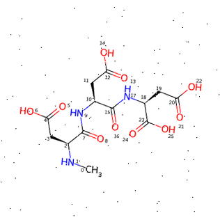 CN[C@@H](CC(=O)O)C(=O)N[C@@H](CC(=O)O)C(=O)N[C@@H](CC(=O)O)C(=O)O